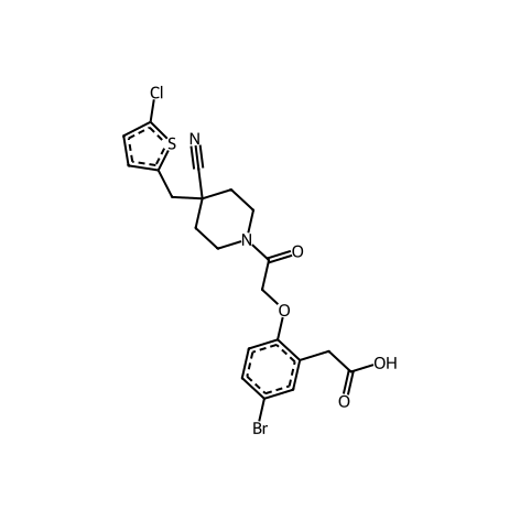 N#CC1(Cc2ccc(Cl)s2)CCN(C(=O)COc2ccc(Br)cc2CC(=O)O)CC1